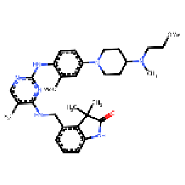 COCCN(C)C1CCN(c2ccc(Nc3ncc(C(F)(F)F)c(NCc4cccc5c4C(C)(C)C(=O)N5)n3)c(OC)c2)CC1